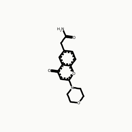 NC(=O)Cc1ccc2oc(N3CCOCC3)cc(=O)c2c1